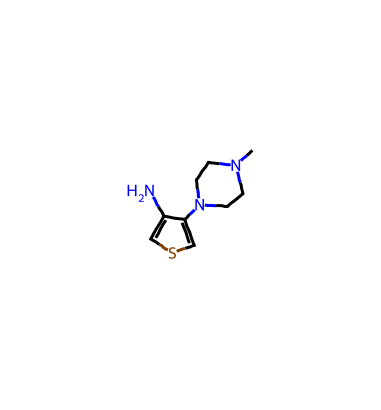 CN1CCN(c2cscc2N)CC1